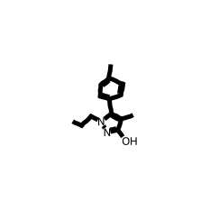 CCCn1nc(O)c(C)c1-c1ccc(C)cc1